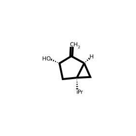 C=C1[C@H]2C[C@@]2(C(C)C)C[C@@H]1O